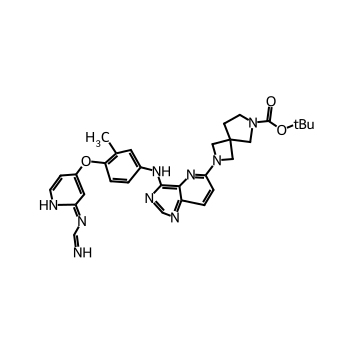 Cc1cc(Nc2ncnc3ccc(N4CC5(CCN(C(=O)OC(C)(C)C)C5)C4)nc23)ccc1Oc1cc[nH]/c(=N\C=N)c1